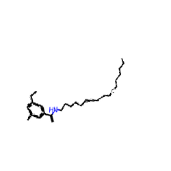 C=C(NCCCCCCCCC=C=CCCCCC)c1cc(C)cc(CC)c1